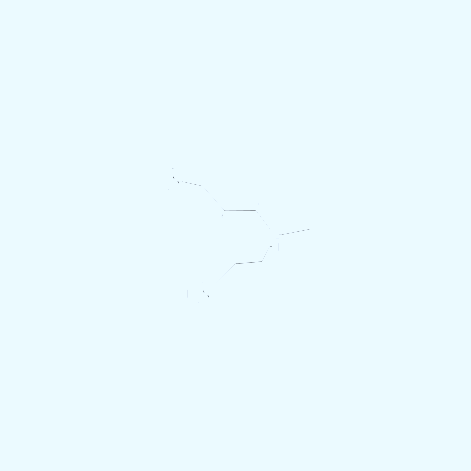 C[SiH](CCN)CCCN